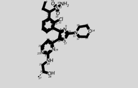 CCC(c1cccc(-c2nc(N3CCOCC3)sc2-c2ccnc(NC[C@@H](C)O)n2)c1Cl)S(N)(=O)=O